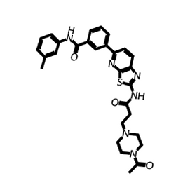 CC(=O)N1CCN(CCC(=O)Nc2nc3ccc(-c4cccc(C(=O)Nc5cccc(C)c5)c4)nc3s2)CC1